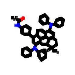 CC(=O)Nc1ccc(-c2cc(N(c3ccccc3)c3ccccc3)c3cc4c5c(cc(N(c6ccccc6)c6ccccc6)c6ccc2c3c65)CCC4(C)C)cc1